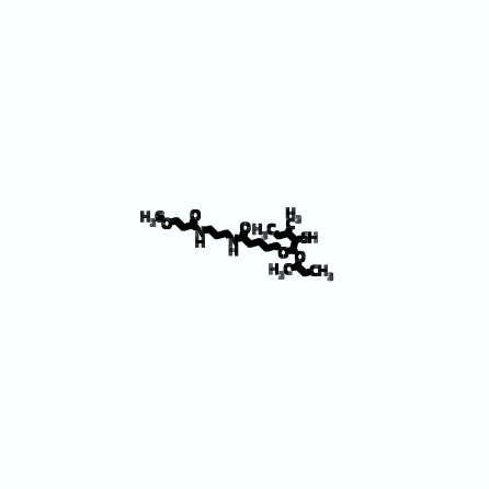 CCC(C)OC(OCCCCC(=O)NCCCNC(=O)CCOC)C(S)C(C)CC